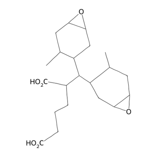 CC1CC2OC2CC1C(C(CCCC(=O)O)C(=O)O)C1CC2OC2CC1C